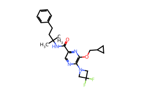 CC(C)(CCc1ccccc1)NC(=O)c1cnc(N2CC(F)(F)C2)c(OCC2CC2)n1